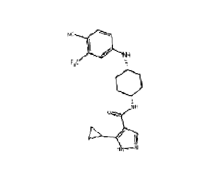 N#Cc1ccc(N[C@H]2CC[C@@H](NC(=O)c3cn[nH]c3C3CC3)CC2)cc1C(F)(F)F